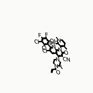 C=CC(=O)N1CCN(c2c(C#N)c(=O)n(C3=C(C)C=CN(C)C3C(C)C)c3nc(-c4c(O)c(F)c(F)c(Cl)c4Cl)c(Cl)cc23)C[C@H]1C